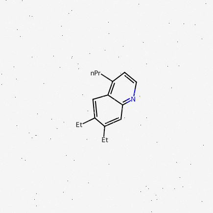 CCCc1ccnc2cc(CC)c(CC)cc12